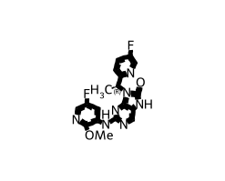 COc1ncc(F)cc1Nc1ncc2[nH]c(=O)n([C@H](C)c3ccc(F)cn3)c2n1